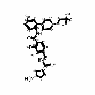 N[C@H]1CC[C@@H](C(=O)NCc2ccc(C(=O)Nc3ccc(Cl)cc3N3CCN(CCC(F)(F)F)CC3)c(F)c2F)C1